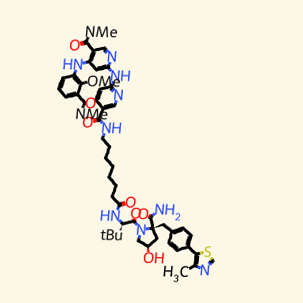 CNC(=O)c1cnc(Nc2ccc(C(=O)NCCCCCCCC(=O)N[C@H](C(=O)N3C[C@H](O)C[C@@]3(Cc3ccc(-c4scnc4C)cc3)C(N)=O)C(C)(C)C)cn2)cc1Nc1cccc(C(=O)NC)c1OC